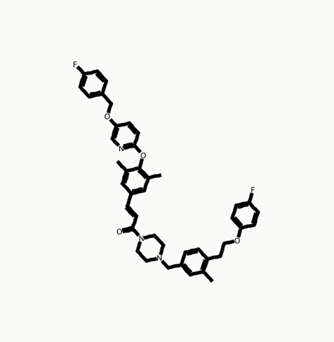 Cc1cc(CN2CCN(C(=O)/C=C/c3cc(C)c(Oc4ccc(OCc5ccc(F)cc5)cn4)c(C)c3)CC2)ccc1CCOc1ccc(F)cc1